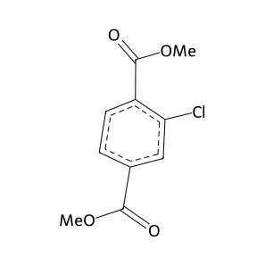 COC(=O)c1ccc(C(=O)OC)c(Cl)c1